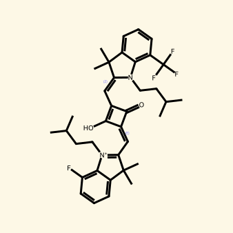 CC(C)CCN1/C(=C\C2=C(O)C(=C\C3=[N+](CCC(C)C)c4c(F)cccc4C3(C)C)/C2=O)C(C)(C)c2cccc(C(F)(F)F)c21